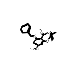 CCOc1cc(OCc2ccccc2)c2c(c1)OC(C)(C)OC2=O